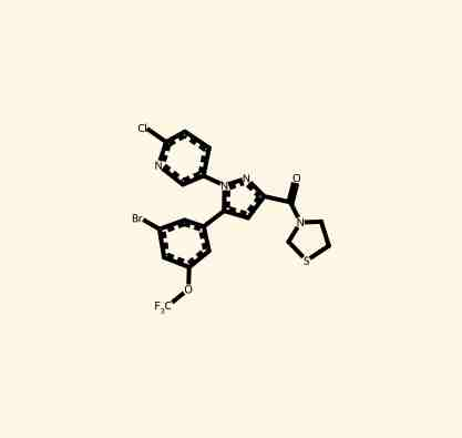 O=C(c1cc(-c2cc(Br)cc(OC(F)(F)F)c2)n(-c2ccc(Cl)nc2)n1)N1CCSC1